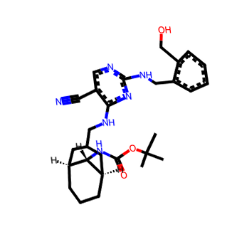 CC(C)(C)OC(=O)N[C@@H]1[C@@H]2CCC[C@H]1CC(CNc1nc(NCc3ccccc3CO)ncc1C#N)C2